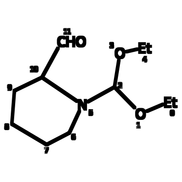 CCOC(OCC)N1CCCCC1C=O